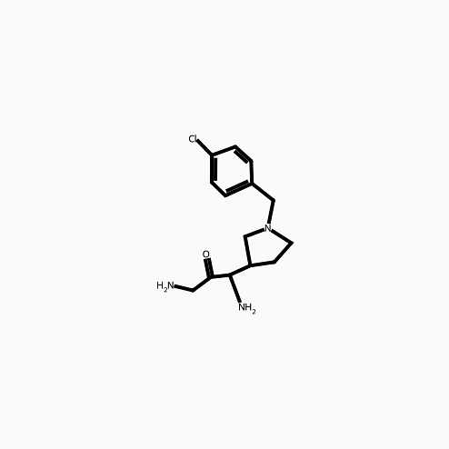 NCC(=O)C(N)C1CCN(Cc2ccc(Cl)cc2)C1